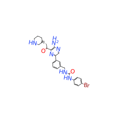 Nc1ncc(-c2cccc(CNC(=O)Nc3ccc(Br)cc3)c2)nc1C(=O)C[C@H]1CCCNC1